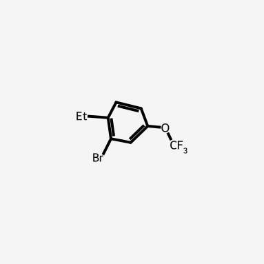 CCc1ccc(OC(F)(F)F)cc1Br